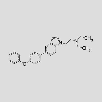 CCN(CC)CCn1ccc2cc(-c3ccc(Oc4ccccc4)cc3)ccc21